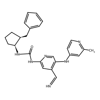 Cc1cc(Nc2cnc(NC(=O)N[C@H]3CCC[C@H]3Cc3ccccc3)cc2C=N)ccn1